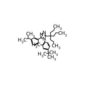 CCCC(CCC)(CCC)c1nnc(-c2cccc(C(C)C)c2)n1-c1ccc(C(C)(C)C)cc1C